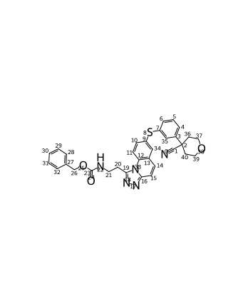 N#CC1(c2cccc(Sc3ccc4c(ccc5nnc(CCNC(=O)OCc6ccccc6)n54)c3)c2)CCOCC1